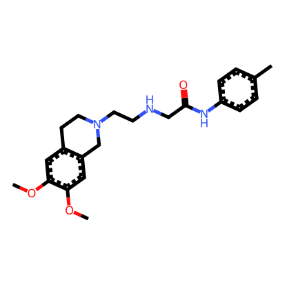 COc1cc2c(cc1OC)CN(CCNCC(=O)Nc1ccc(C)cc1)CC2